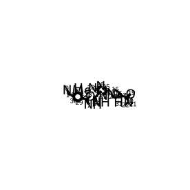 CNCc1ccc(C(=N)OC(=N)c2nc(N3CC4C(C(=O)N(C)C)[C@H]4C3)cnc2N)cc1